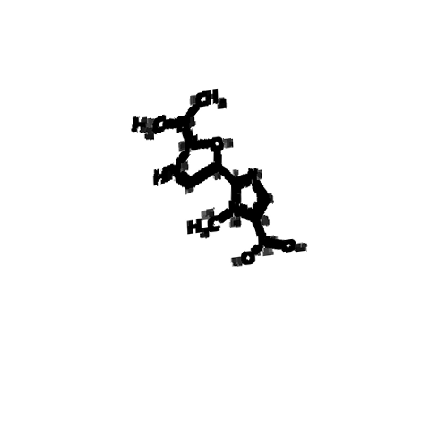 CN(C)N1NC=C(c2ncc([N+](=O)[O-])n2C)O1